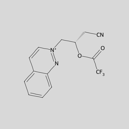 N#CC[C@@H](C[n+]1ccc2ccccc2n1)OC(=O)C(F)(F)F